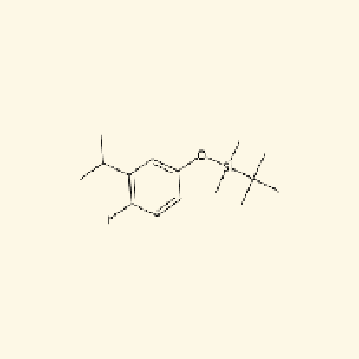 CC(C)c1cc(O[Si](C)(C)C(C)(C)C)ccc1I